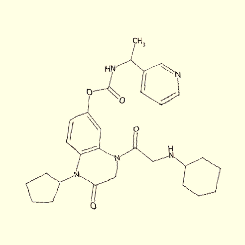 CC(NC(=O)Oc1ccc2c(c1)N(C(=O)CNC1CCCCC1)CC(=O)N2C1CCCC1)c1cccnc1